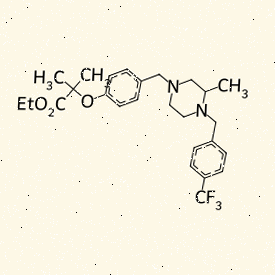 CCOC(=O)C(C)(C)Oc1ccc(CN2CCN(Cc3ccc(C(F)(F)F)cc3)C(C)C2)cc1